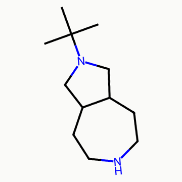 CC(C)(C)N1CC2CCNCCC2C1